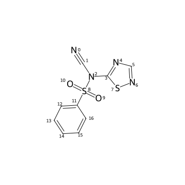 N#CN(c1ncns1)S(=O)(=O)c1ccccc1